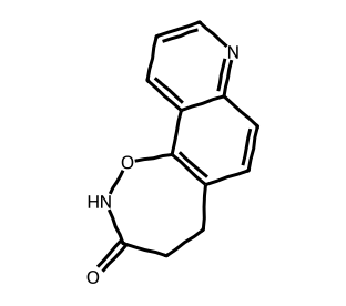 O=C1CCc2ccc3ncccc3c2ON1